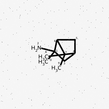 CC1(N)CC2CC1C2(C)C